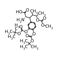 COC(=O)OC(C)C(C)C(c1ccc(OC(=O)OC(C)(C)C)c(OC(=O)OC(C)(C)C)c1)[C@H](N)C(=O)O